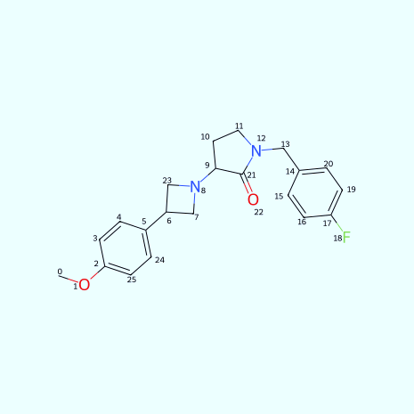 COc1ccc(C2CN(C3CCN(Cc4ccc(F)cc4)C3=O)C2)cc1